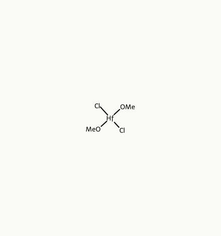 C[O][Hf]([Cl])([Cl])[O]C